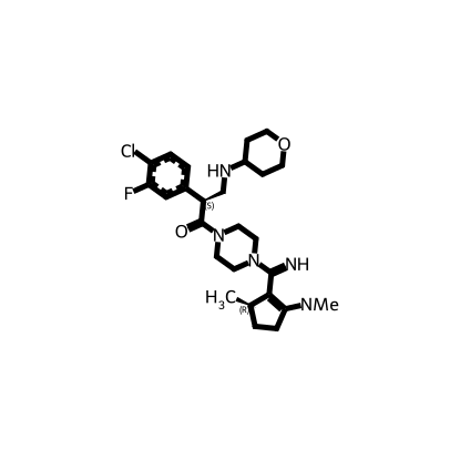 CNC1=C(C(=N)N2CCN(C(=O)[C@H](CNC3CCOCC3)c3ccc(Cl)c(F)c3)CC2)[C@H](C)CC1